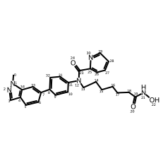 Cn1ncc2ccc(-c3ccc(N(CCCCCCC(=O)NO)C(=O)c4ccccn4)cc3)cc21